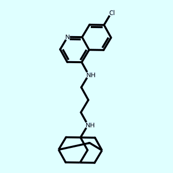 Clc1ccc2c(NCCCNC34CC5CC(CC(C5)C3)C4)ccnc2c1